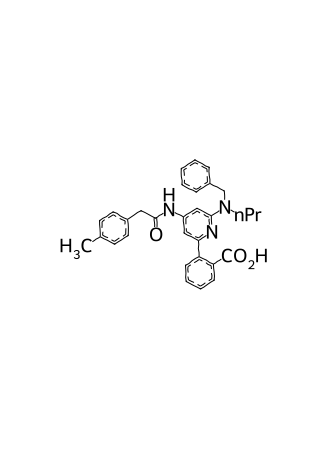 CCCN(Cc1ccccc1)c1cc(NC(=O)Cc2ccc(C)cc2)cc(-c2ccccc2C(=O)O)n1